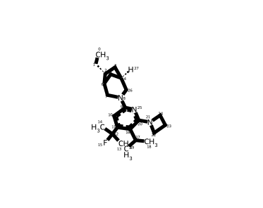 CC[C@@H]1C[C@@H]2CC1CN(c1cc(C(C)(C)F)c(C(C)C)c(N3CCC3)n1)C2